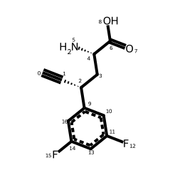 C#C[C@H](C[C@H](N)C(=O)O)c1cc(F)cc(F)c1